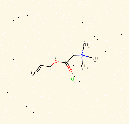 C=CCOC(=O)C[N+](C)(C)C.[Cl-]